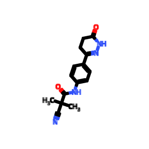 CC(C)(C#N)C(=O)Nc1ccc(C2=NNC(=O)CC2)cc1